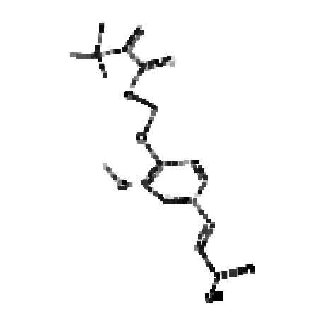 C=C(C(=O)OCOc1ccc(/C=C/C(=O)O)cc1OC)C(C)(C)C